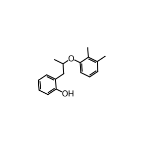 Cc1cccc(OC(C)Cc2ccccc2O)c1C